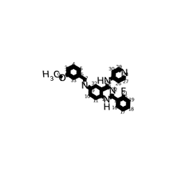 COc1cccc(CN=C2C=CC3NC(c4ccccc4F)=NC(Nc4ccncc4)=C3C2)c1